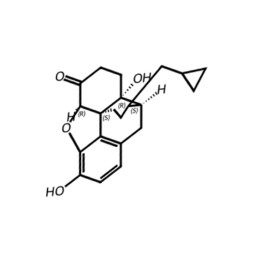 O=C1CC[C@@]2(O)[C@H]3Cc4ccc(O)c5c4[C@@]2(CCC3CC2CC2)[C@H]1O5